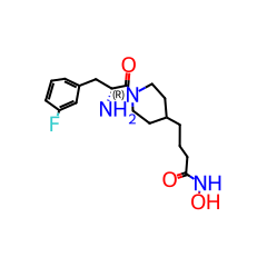 N[C@H](Cc1cccc(F)c1)C(=O)N1CCC(CCCC(=O)NO)CC1